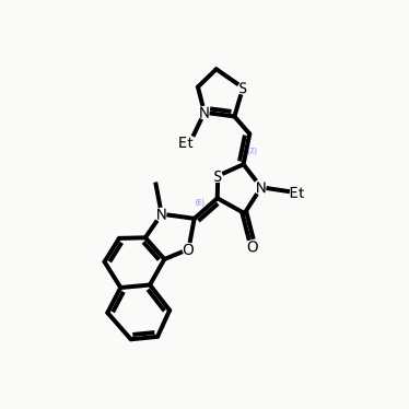 CCn1c(=O)/c(=C2\Oc3c(ccc4ccccc34)N2C)s/c1=C\C1=[N+](CC)CCS1